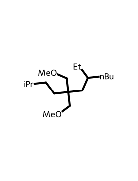 CCCCC(CC)CC(CCC(C)C)(COC)COC